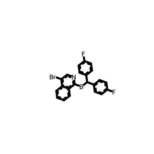 Fc1ccc(C([B]c2ncc(Br)c3ccccc23)c2ccc(F)cc2)cc1